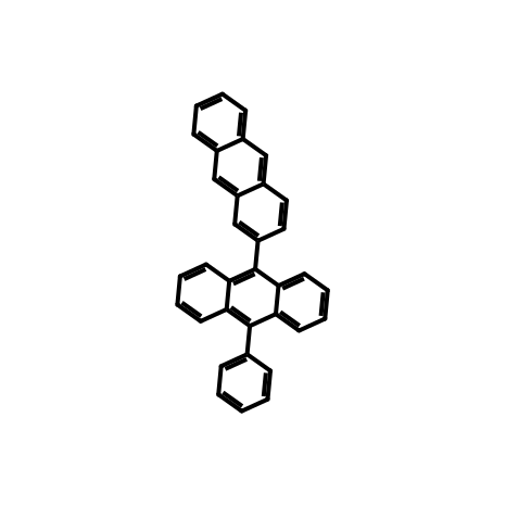 c1ccc(-c2c3ccccc3c(-c3ccc4cc5ccccc5cc4c3)c3ccccc23)cc1